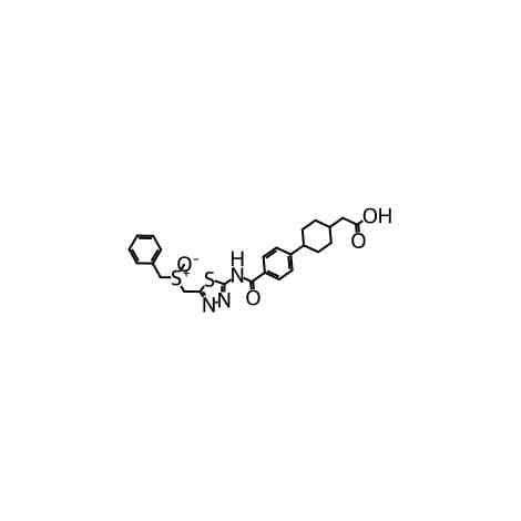 O=C(O)CC1CCC(c2ccc(C(=O)Nc3nnc(C[S+]([O-])Cc4ccccc4)s3)cc2)CC1